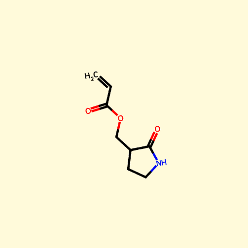 C=CC(=O)OCC1CCNC1=O